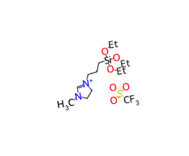 CCO[Si](CCC[N+]1=CN(C)CC1)(OCC)OCC.O=S(=O)([O-])C(F)(F)F